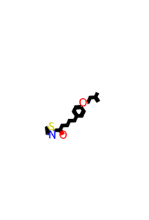 C=C(C)CCOc1ccc(CCCCC(=O)c2nccs2)cc1